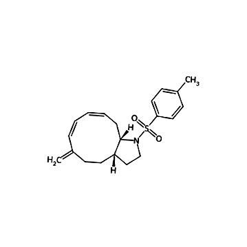 C=C1/C=C\C=C/C[C@H]2[C@@H](CC1)CCN2S(=O)(=O)c1ccc(C)cc1